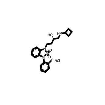 Cl.O=S1(=O)N(CC[C@H](O)CNC2CCC2)c2ccccc2N1c1ccccc1F